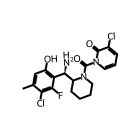 Cc1cc(O)c([C@@H](N)C2CCCCN2C(=O)n2cccc(Cl)c2=O)c(F)c1Cl